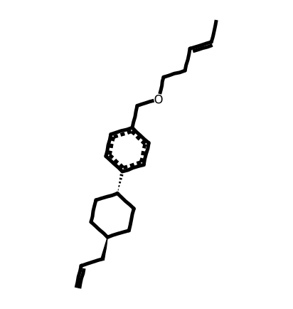 C=CC[C@H]1CC[C@H](c2ccc(COCCC=CC)cc2)CC1